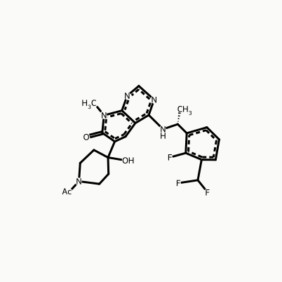 CC(=O)N1CCC(O)(c2cc3c(N[C@H](C)c4cccc(C(F)F)c4F)ncnc3n(C)c2=O)CC1